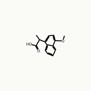 COc1ccc(C(C)C(=O)O)c2ccccc12